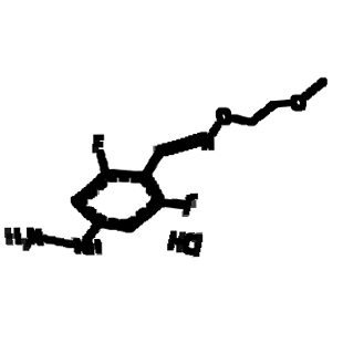 COCCON=Cc1c(F)cc(NN)cc1F.Cl